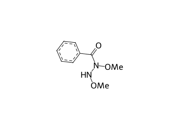 CONN(OC)C(=O)c1ccccc1